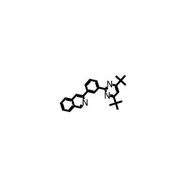 CC(C)(C)c1cc(C(C)(C)C)nc(-c2cccc(-c3cc4ccccc4cn3)c2)n1